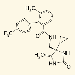 C=C1NC(=O)N[C@@]1(CNC(=O)c1cccc(C)c1-c1ccc(C(F)(F)F)cc1)C1CC1